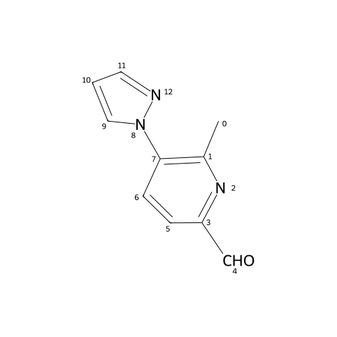 Cc1nc(C=O)ccc1-n1cccn1